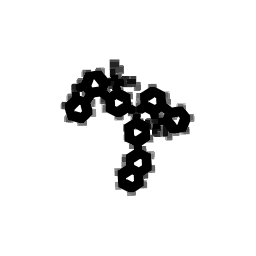 C[Si]1(C)c2cc(N(c3ccc(-c4ccc5ccccc5c4)cc3)c3cccc4c3[Si](C)(C)c3ccccc3-4)ccc2-c2c1ccc1sc3ccccc3c21